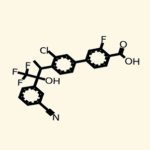 CC(c1ccc(-c2ccc(C(=O)O)c(F)c2)cc1Cl)C(O)(c1cccc(C#N)c1)C(F)(F)F